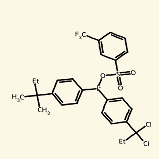 CCC(C)(C)c1ccc([I+](OS(=O)(=O)c2cccc(C(F)(F)F)c2)c2ccc(C(C)(C)CC)cc2)cc1